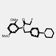 COc1ccc(OC)c(N(Cc2ccc(N3CCCCC3)cc2)C(=O)CF)c1